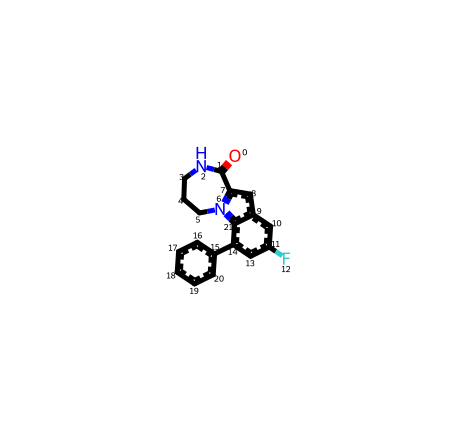 O=C1NCCCn2c1cc1cc(F)cc(-c3ccccc3)c12